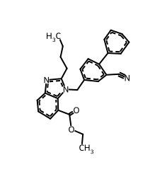 CCCCc1nc2cccc(C(=O)OCC)c2n1Cc1ccc(-c2ccccc2)c(C#N)c1